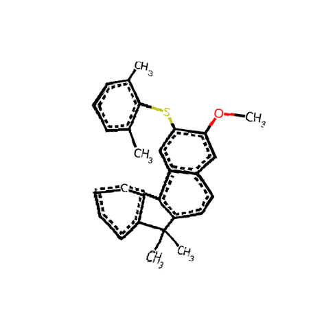 COc1cc2ccc3c(c2cc1Sc1c(C)cccc1C)-c1ccccc1C3(C)C